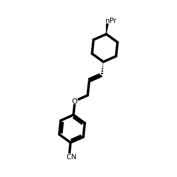 CCC[C@H]1CC[C@H](/C=C/COc2ccc(C#N)cc2)CC1